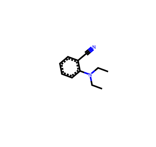 CCN(CC)c1ccccc1C#N